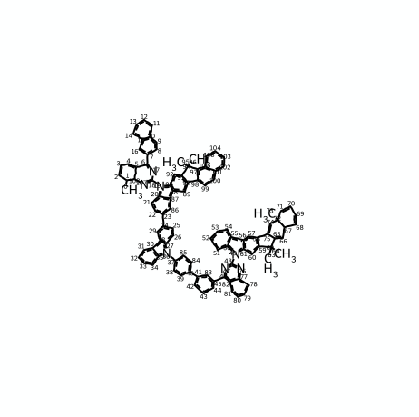 CC1C=CC=C2C(c3ccc4ccccc4c3)=NC(n3c4ccc(-c5ccc6c(c5)c5ccccc5n6-c5ccc(-c6cccc(-c7nc(-n8c9ccccc9c9cc%10c(cc98)C(C)(C)C8=CC9C=CC=CC9(C)C=C8%10)nc8ccccc78)c6)cc5)cc4c4cc5c(cc43)C(C)(C)c3c-5ccc4ccccc34)=NC21